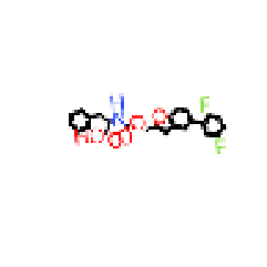 O=C(NC(Cc1ccccc1)C(=O)O)OCc1cc2cc(-c3cc(F)ccc3F)ccc2o1